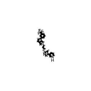 Cn1c(SCCCN2CC3CCN(c4cccc(C(F)(F)F)c4)C3C2)nnc1C1=CNCC=C1